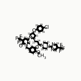 COc1ccc(Cn2nc(N3C[C@H](Oc4ccc(Cl)cc4)C[C@H]3CCC(=O)N3CCN(c4ncc(C(F)(F)F)cn4)CC3)cc(C(F)(F)F)c2=O)cc1